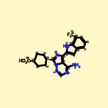 Nc1ncnn2c1c(-c1cc3cccc(C(F)(F)F)c3[nH]1)nc2[C@H]1CC[C@H](C(=O)O)CC1